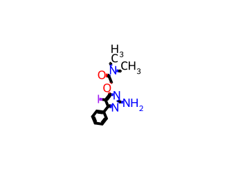 CCN(CC)C(=O)COc1nc(N)nc(-c2ccccc2)c1I